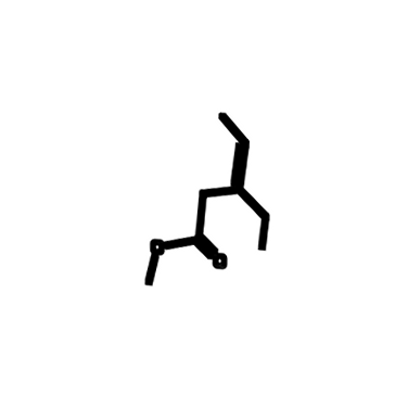 CC=C(CC)CC(=O)OC